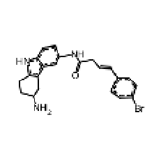 NC1CCc2[nH]c3ccc(NC(=O)C/C=C/c4ccc(Br)cc4)cc3c2C1